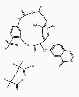 Cc1cc2cc(C)c1CN(C(C)C)CC(=O)Nc1ccc(S(=O)(=O)C(C)C)c(c1)CNC(=O)C2Nc1ccc2nc[nH]c(=O)c2c1.O=C(O)C(F)(F)F.O=C(O)C(F)(F)F